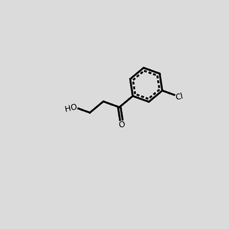 O=C(CCO)c1cccc(Cl)c1